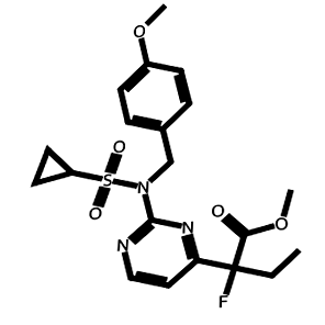 CCC(F)(C(=O)OC)c1ccnc(N(Cc2ccc(OC)cc2)S(=O)(=O)C2CC2)n1